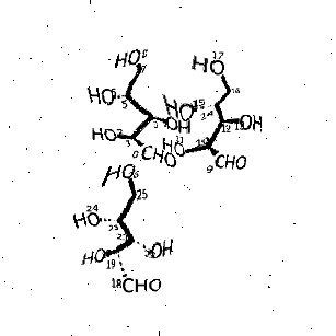 O=C[C@@H](O)[C@H](O)[C@H](O)CO.O=C[C@@H](O)[C@H](O)[C@H](O)CO.O=C[C@H](O)[C@@H](O)[C@H](O)CO